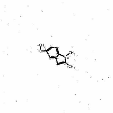 COc1ccc2c([c]c(C)n2C)c1